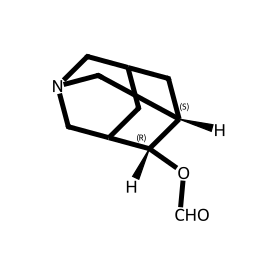 O=CO[C@@H]1C2CC3C[C@H]1CN(C3)C2